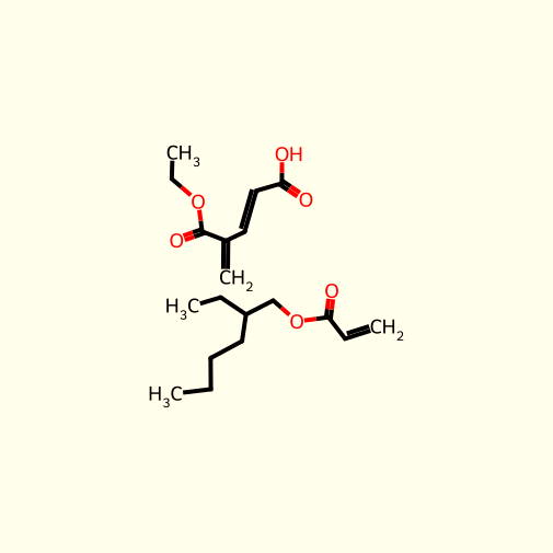 C=C(C=CC(=O)O)C(=O)OCC.C=CC(=O)OCC(CC)CCCC